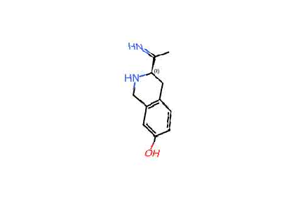 CC(=N)[C@H]1Cc2ccc(O)cc2CN1